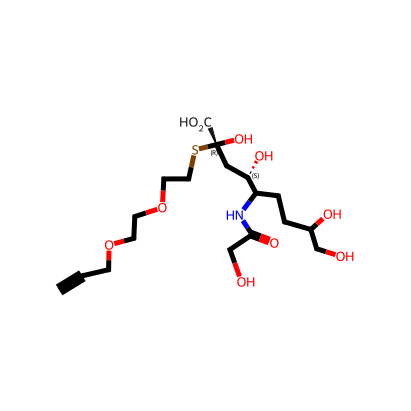 C#CCOCCOCCS[C@](O)(C[C@H](O)C(CCC(O)CO)NC(=O)CO)C(=O)O